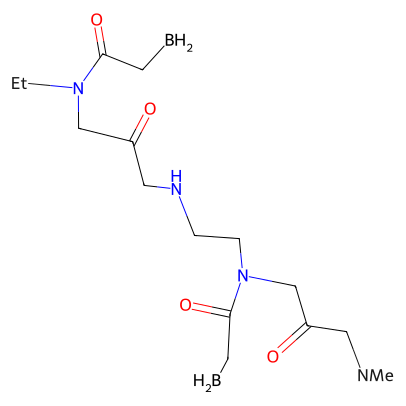 BCC(=O)N(CC)CC(=O)CNCCN(CC(=O)CNC)C(=O)CB